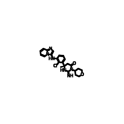 C[C@@]1(c2cccc(Nc3cnc4ccccn34)c2Cl)CC(=O)N(C2CCOCC2)C(=N)N1